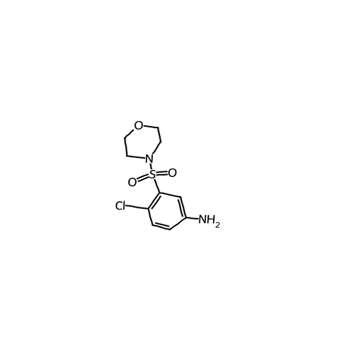 Nc1ccc(Cl)c(S(=O)(=O)N2CCOCC2)c1